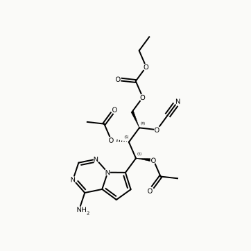 CCOC(=O)OC[C@@H](OC#N)[C@@H](OC(C)=O)[C@@H](OC(C)=O)c1ccc2c(N)ncnn12